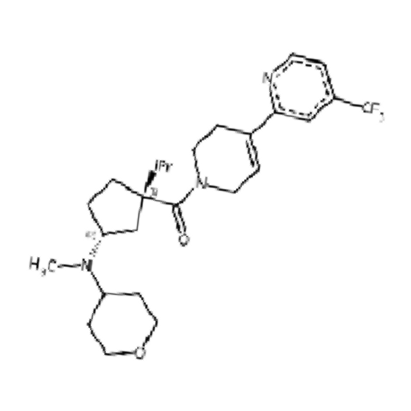 CC(C)[C@]1(C(=O)N2CC=C(c3cc(C(F)(F)F)ccn3)CC2)CC[C@@H](N(C)C2CCOCC2)C1